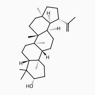 C=C(C)[C@H]1CC[C@]2(C)CC[C@]3(C)[C@H](CC[C@@H]4[C@@]5(C)CC[C@H](O)C(C)(C)[C@@H]5CC[C@]43C)[C@H]12